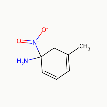 CC1=CC=CC(N)([N+](=O)[O-])C1